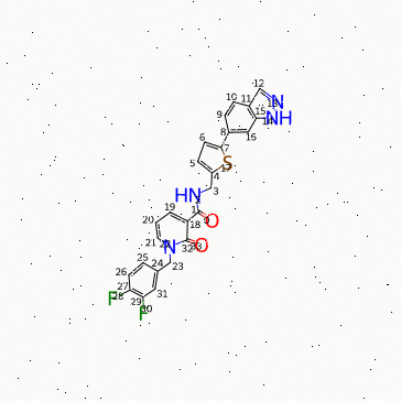 O=C(NCc1ccc(-c2ccc3cn[nH]c3c2)s1)c1cccn(Cc2ccc(F)c(F)c2)c1=O